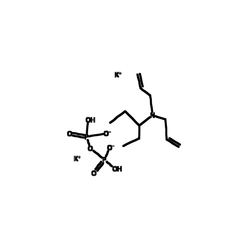 C=CCN(CC=C)C(CC)CC.O=P([O-])(O)OP(=O)([O-])O.[K+].[K+]